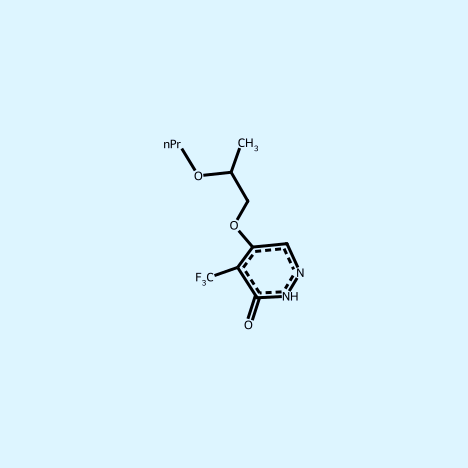 CCCOC(C)COc1cn[nH]c(=O)c1C(F)(F)F